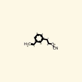 C=Cc1cccc(CCOC#N)c1